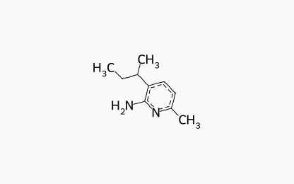 CCC(C)c1ccc(C)nc1N